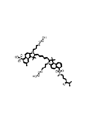 Cc1cc(S(=O)(=O)O)c2ccc3c(c2c1)C(C)(C)\C(=C/C=C/C=C/C1=[N+](CCCSOOO)c2ccc4c(S(=O)(=O)N(C)CCCC(=O)C(C)C)cccc4c2C1(C)C)N3CCCSOOO